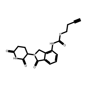 C#CCCOC(=O)Nc1cccc2c1CN(C1CCC(=O)NC1=O)C2=O